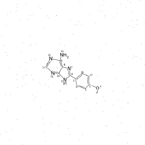 COc1ccc(-c2nc3c(N)ncnc3[nH]2)cc1